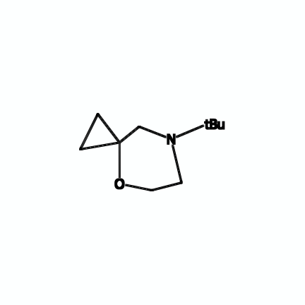 CC(C)(C)N1CCOC2(CC2)C1